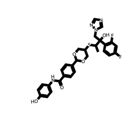 CC(SC1COC(c2ccc(C(=O)Nc3ccc(O)cc3)cc2)OC1)C(O)(Cn1cncn1)c1ccc(F)cc1F